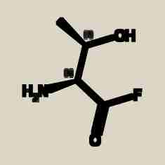 C[C@@H](O)[C@H](N)C(=O)F